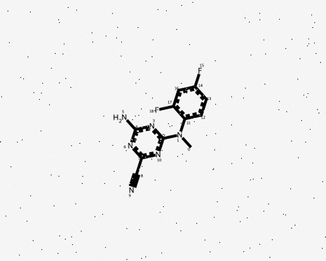 CN(c1nc(N)nc(C#N)n1)c1ccc(F)cc1F